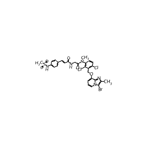 Cc1nc2c(OCc3c(Cl)ccc(N(C)C(=O)CNC(=O)C=Cc4ccc(NS(C)(=O)=O)cc4)c3Cl)cccn2c1Br